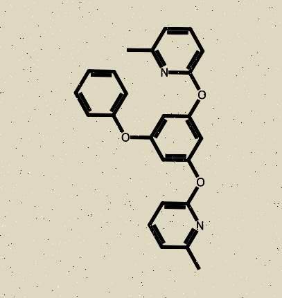 Cc1cccc(Oc2cc(Oc3ccccc3)cc(Oc3cccc(C)n3)c2)n1